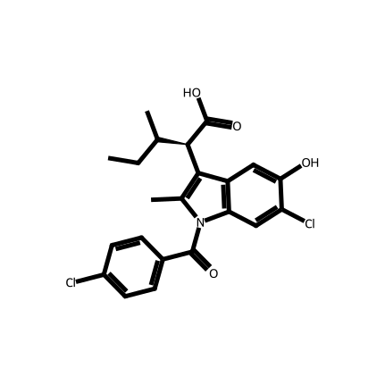 CCC(C)[C@@H](C(=O)O)c1c(C)n(C(=O)c2ccc(Cl)cc2)c2cc(Cl)c(O)cc12